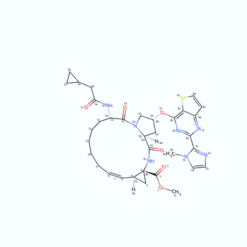 COC(=O)[C@@]12C[C@H]1/C=C\CCCCC[C@H](NC(=O)CC1CC1)C(=O)N1C[C@H](Oc3nc(-c4nccn4C)nc4ccsc34)C[C@H]1C(=O)N2